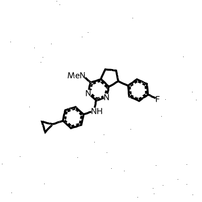 CNc1nc(Nc2ccc(C3CC3)cc2)nc2c1CCC2c1ccc(F)cc1